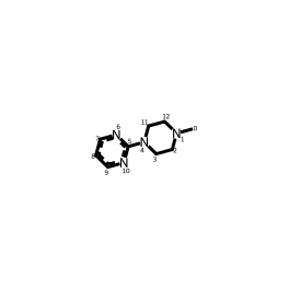 CN1CCN(c2n[c]ccn2)CC1